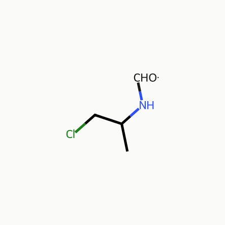 CC(CCl)N[C]=O